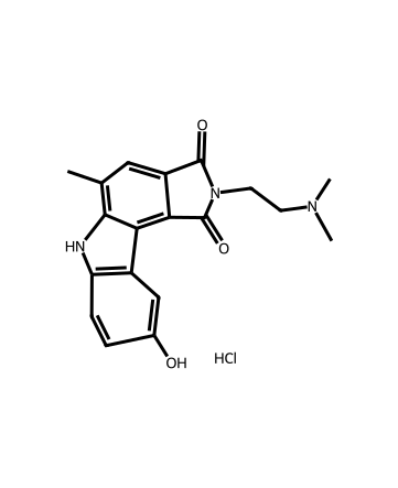 Cc1cc2c(c3c1[nH]c1ccc(O)cc13)C(=O)N(CCN(C)C)C2=O.Cl